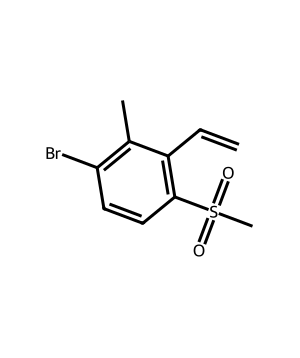 C=Cc1c(S(C)(=O)=O)ccc(Br)c1C